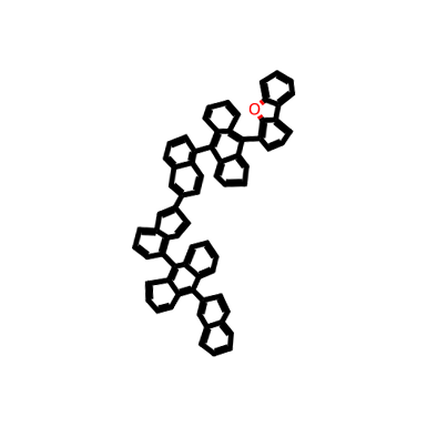 c1ccc2cc(-c3c4ccccc4c(-c4cccc5cc(-c6ccc7c(-c8c9ccccc9c(-c9cccc%10c9oc9ccccc9%10)c9ccccc89)cccc7c6)ccc45)c4ccccc34)ccc2c1